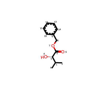 CC(C)[C@H](O)C(=O)OCc1ccccc1